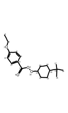 CCOc1ccc(C(=O)OO[C]2CCC(C(C)(C)C)CC2)cc1